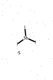 [I][Sb]([I])[I].[S]